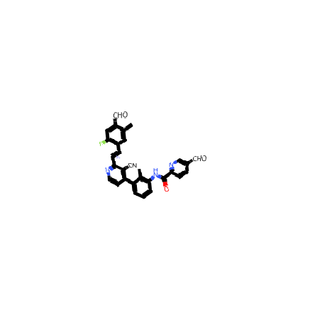 Cc1cc(/C=C/c2nccc(-c3cccc(NC(=O)c4ccc(C=O)cn4)c3C)c2C#N)c(F)cc1C=O